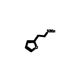 CNCCc1ccco1